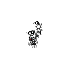 COc1ccc(CN2CC[C@H](C)[C@H](C(=O)c3c(OC)cnc4c3ccn4[Si](C(C)C)(C(C)C)C(C)C)C2)cc1